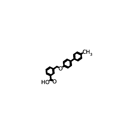 Cc1ccc(-c2ccc(OCc3cccc(C(=O)O)c3)cc2)cc1